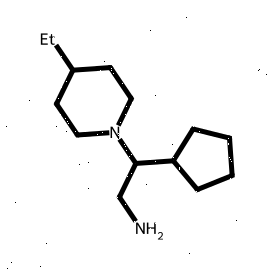 CCC1CCN(C(CN)C2CCCC2)CC1